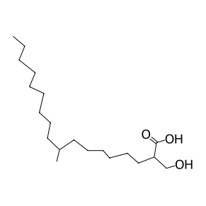 CCCCCCCCCC(C)CCCCCCC(CO)C(=O)O